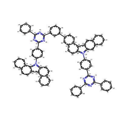 c1ccc(-c2nc(-c3ccccc3)nc(-c3ccc(-n4c5cc6ccccc6cc5c5c6ccc(-c7cccc(-c8nc(-c9ccccc9)nc(-c9ccc(-n%10c%11ccc%12ccccc%12c%11c%11ccc%12ccccc%12c%11%10)cc9)n8)c7)cc6ccc54)cc3)n2)cc1